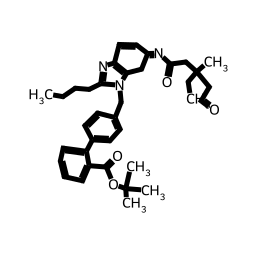 CCCCc1nc2c(n1Cc1ccc(-c3ccccc3C(=O)OC(C)(C)C)cc1)CC(=NC(=O)CC(C)(CC)CC=O)C=C2